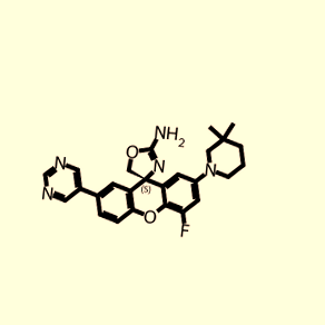 CC1(C)CCCN(c2cc(F)c3c(c2)[C@]2(COC(N)=N2)c2cc(-c4cncnc4)ccc2O3)C1